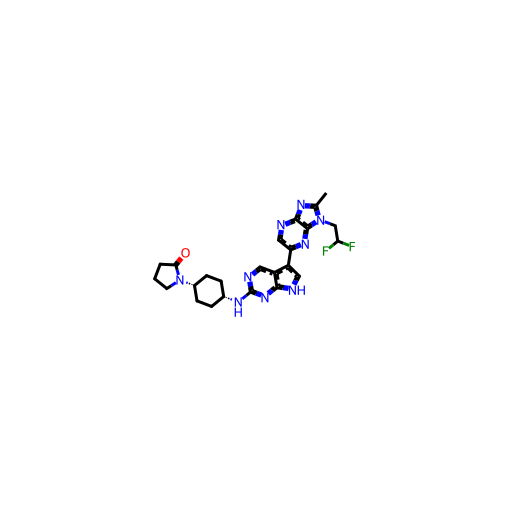 Cc1nc2ncc(-c3c[nH]c4nc(N[C@H]5CC[C@@H](N6CCCC6=O)CC5)ncc34)nc2n1CC(F)F